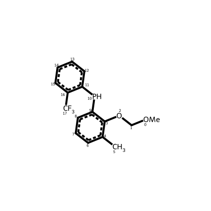 COCOc1c(C)cccc1Pc1ccccc1C(F)(F)F